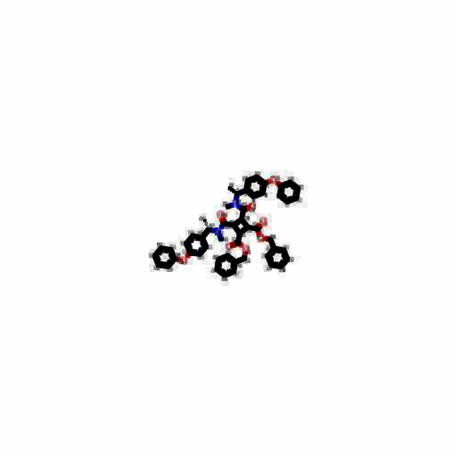 C[C@@H](c1ccc(Oc2ccccc2)cc1)N(C)C(=O)C1C(C(=O)OCc2ccccc2)C(C(=O)OCc2ccccc2)C1C(=O)N(C)[C@@H](C)c1ccc(Oc2ccccc2)cc1